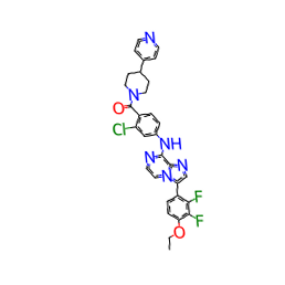 CCOc1ccc(-c2cnc3c(Nc4ccc(C(=O)N5CCC(c6ccncc6)CC5)c(Cl)c4)nccn23)c(F)c1F